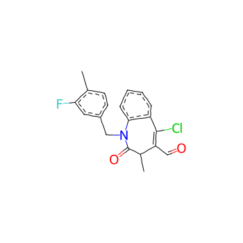 Cc1ccc(CN2C(=O)C(C)C(C=O)=C(Cl)c3ccccc32)cc1F